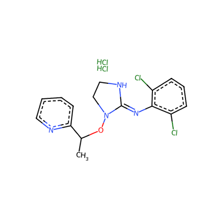 CC(ON1CCNC1=Nc1c(Cl)cccc1Cl)c1ccccn1.Cl.Cl